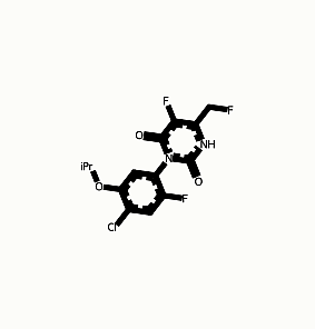 CC(C)Oc1cc(-n2c(=O)[nH]c(CF)c(F)c2=O)c(F)cc1Cl